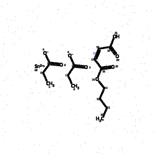 CCC(=O)[O-].CCC(=O)[O-].CCCCOC(=O)/C=C\C(=O)O.[Sn+2]